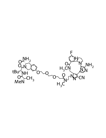 CN[C@@H](C)C(=O)N[C@H](C(=O)N1Cc2cc(OCCOCCOCCC(=O)N(C)CCn3nc(C#N)c4c3CN(C)C(=O)c3ccc(F)cc3[C@H]3CCCN3c3nc-4cnc3N)ccc2C[C@H]1C(N)=O)C(C)(C)C